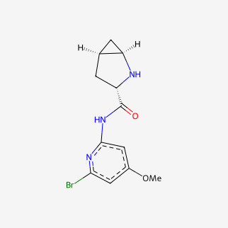 COc1cc(Br)nc(NC(=O)[C@@H]2C[C@H]3C[C@H]3N2)c1